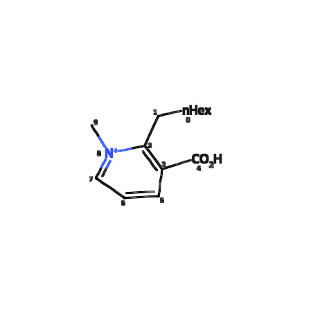 CCCCCCCc1c(C(=O)O)ccc[n+]1C